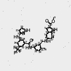 COC(=O)c1cc2cc(NCc3cc(NC(=O)c4cc(Nc5cc[nH]n5)cc(C(F)(F)F)c4)ccc3C)cnc2[nH]1